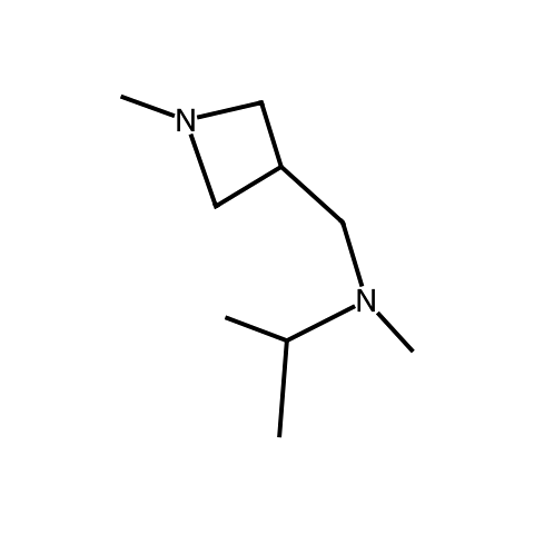 CC(C)N(C)CC1CN(C)C1